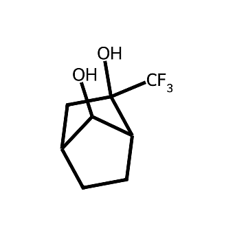 OC1C2CCC1C(O)(C(F)(F)F)C2